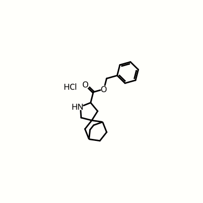 Cl.O=C(OCc1ccccc1)C1CC2(CN1)CC1CCC2CC1